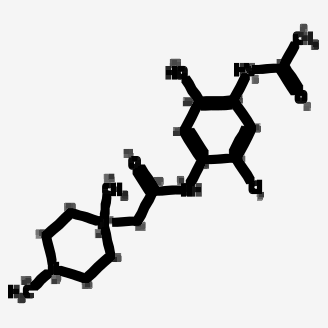 CC(=O)Nc1cc(Cl)c(NC(=O)C[N+]2(C)CCN(C)CC2)cc1O